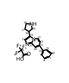 O=C(O)C(F)(F)F.c1ccc(-c2ccn3c(C4CCNC4)cnc3c2)cc1